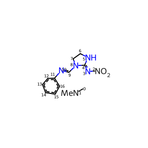 CNC.O=[N+]([O-])N=C1NCCN1C=Nc1ccccc1